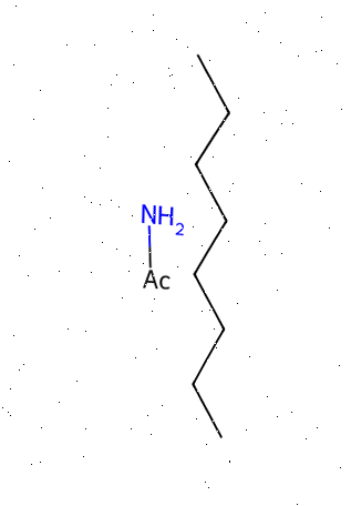 CC(N)=O.CCCCCCCC